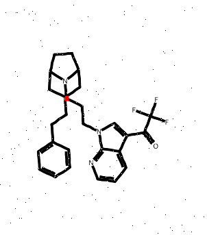 O=C(c1cn(CCCN2C3CCC2CC(CCc2ccccc2)C3)c2ncccc12)C(F)(F)F